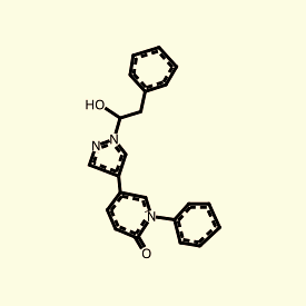 O=c1ccc(-c2cnn(C(O)Cc3ccccc3)c2)cn1-c1ccccc1